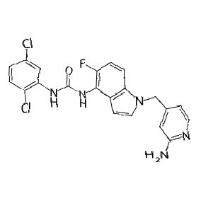 Nc1cc(Cn2ccc3c(NC(=O)Nc4cc(Cl)ccc4Cl)c(F)ccc32)ccn1